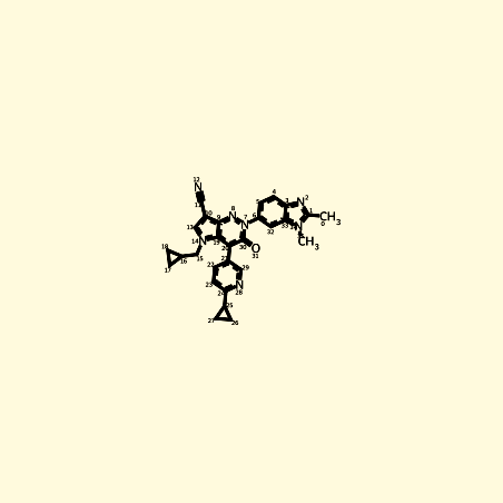 Cc1nc2ccc(-n3nc4c(C#N)cn(CC5CC5)c4c(-c4ccc(C5CC5)nc4)c3=O)cc2n1C